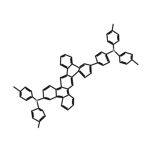 Cc1ccc(N(c2ccc(C)cc2)c2ccc(-c3ccc4c(c3)c3ccccc3c3cc5c6ccc(N(c7ccc(C)cc7)c7ccc(C)cc7)cc6c6ccccc6c5cc43)cc2)cc1